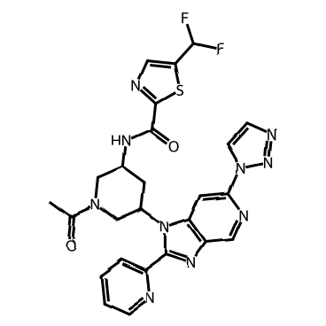 CC(=O)N1CC(NC(=O)c2ncc(C(F)F)s2)CC(n2c(-c3ccccn3)nc3cnc(-n4ccnn4)cc32)C1